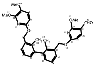 COc1ccc(OCc2cccc(-c3cccc(COc4ccc(C=O)c(OC)n4)c3C)c2C)nc1OC